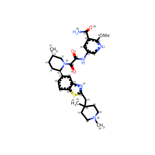 COc1ncc(NC(=O)C(=O)N2C[C@@H](C)CC[C@@H]2c2ccc3sc(CC4(C)CCN(C)CC4)nc3c2)cc1C(N)=O